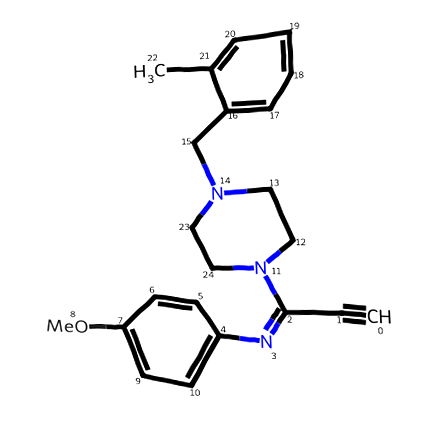 C#C/C(=N/c1ccc(OC)cc1)N1CCN(Cc2ccccc2C)CC1